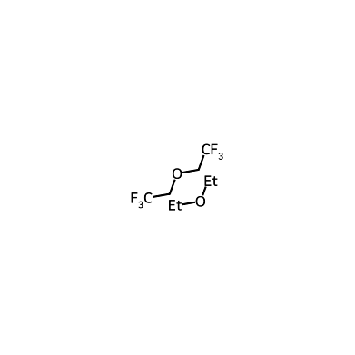 CCOCC.FC(F)(F)COCC(F)(F)F